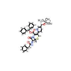 CC(C)(C)[Si](C)(C)OCc1ccc(C2=C(C(=O)OC(c3ccccc3)c3ccccc3)N3C(=O)[C@@H](NC(=O)Cc4ccccc4)[C@H]3SC2)nc1